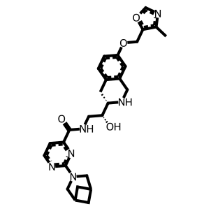 Cc1ncoc1COc1ccc2c(c1)CN[C@H]([C@H](O)CNC(=O)c1ccnc(N3CC4CC(C4)C3)n1)C2